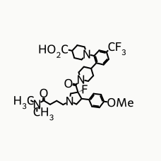 COc1ccc(C2CN(CCCC(=O)N(C)C)C[C@@]2(F)C(=O)N2CCC(c3ccc(C(F)(F)F)cc3N3CCC(C(=O)O)CC3)CC2)cc1